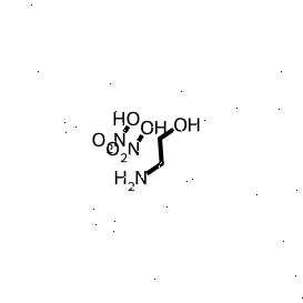 NCCO.O=[N+]([O-])O.O=[N+]([O-])O